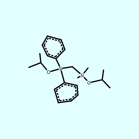 CC(C)O[Si](C)(C)C[Si](OC(C)C)(c1ccccc1)c1ccccc1